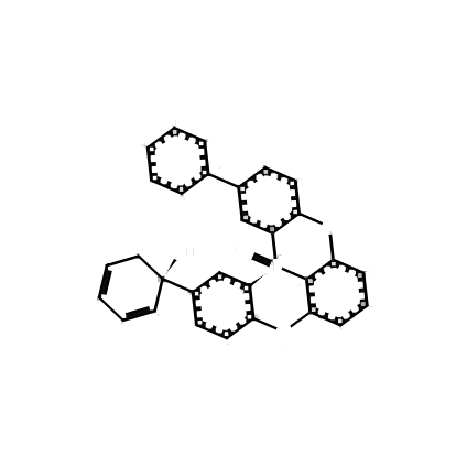 C[C@@]1(c2ccc3c(c2)[P@@]2(=O)c4cc(-c5ccccc5)ccc4Oc4cccc(c42)O3)C=CC=CC1